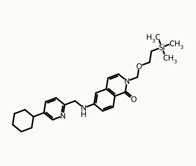 C[Si](C)(C)CCOCn1ccc2cc(NCc3ccc(C4CCCCC4)cn3)ccc2c1=O